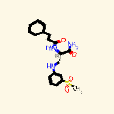 CS(=O)(=O)c1cccc(NC[C@H](NC(=O)[CH]CC2CCCCC2)C(N)=O)c1